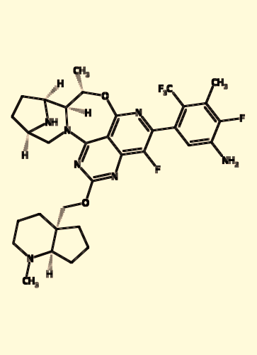 Cc1c(F)c(N)cc(-c2nc3c4c(nc(OC[C@]56CCC[C@H]5N(C)CCC6)nc4c2F)N2C[C@H]4CC[C@H](N4)[C@H]2[C@H](C)O3)c1C(F)(F)F